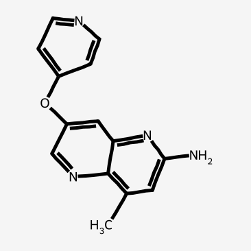 Cc1cc(N)nc2cc(Oc3ccncc3)cnc12